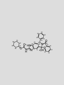 O=C(Nc1nc2cc(C3(O)c4ccccc4C(=O)N3Cc3ccccc3)ccc2[nH]1)OC1CCCCC1